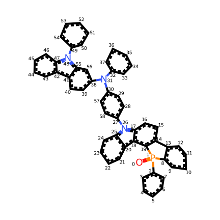 O=P1(c2ccccc2)c2ccccc2-c2ccc3c(c21)c1ccccc1n3-c1ccc(N(c2ccccc2)c2ccc3c4ccccc4n(-c4ccccc4)c3c2)cc1